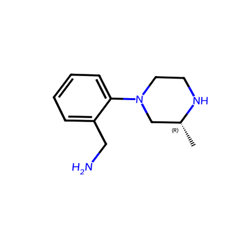 C[C@@H]1CN(c2ccccc2CN)CCN1